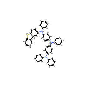 c1ccc(N(c2ccccc2)c2ccc(N(c3ccccc3)c3ccc(N(c4ccccc4)c4ccc5sc6ccccc6c5c4)cc3)cc2)cc1